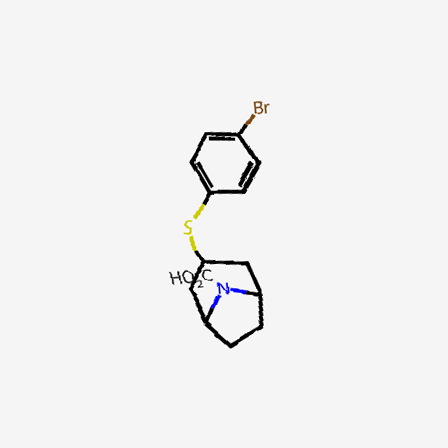 O=C(O)N1C2CCC1CC(Sc1ccc(Br)cc1)C2